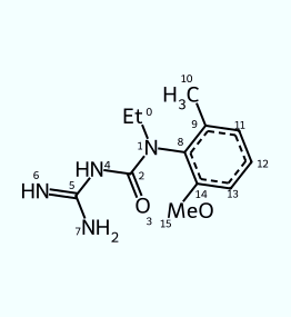 CCN(C(=O)NC(=N)N)c1c(C)cccc1OC